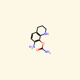 NC(=O)Oc1c(N)ccc2c1NCCC2